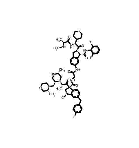 CN[C@@H](C)C(=O)N[C@H](C(=O)N1Cc2ccc(NC(=O)CNC(=O)[C@]3(C(=O)[C@H](C)N4C[C@@H](C)NC[C@@H]4CN4CCOC[C@H]4C)CN(Cl)c4cc(Cc5ccc(F)cc5)ccc43)cc2[C@H]1C(=O)Nc1c(F)cccc1F)C1CCOCC1